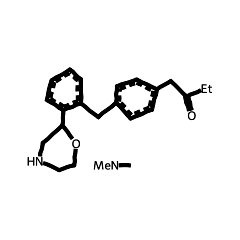 CCC(=O)Cc1ccc(Cc2ccccc2C2CNCCO2)cc1.CNC